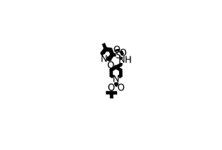 Cc1cnc2c(c1)S(=O)(=O)NCC1(CCN(C(=O)OC(C)(C)C)CC1)O2